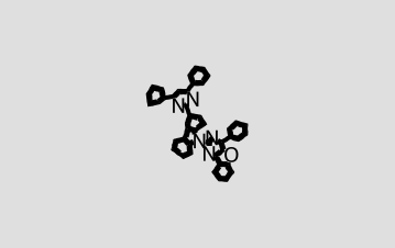 c1ccc(-c2cc(-c3ccccc3)nc(-c3ccc4c(c3)c3ccccc3n4-c3nc(-c4ccccc4)c4oc5ccccc5c4n3)n2)cc1